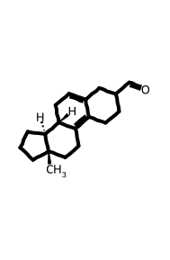 C[C@@]12CCC[C@H]1[C@@H]1CC=C3CC(C=O)CCC3=C1CC2